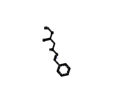 CC(C)(C)OC(=O)CN/N=C/c1ccccc1